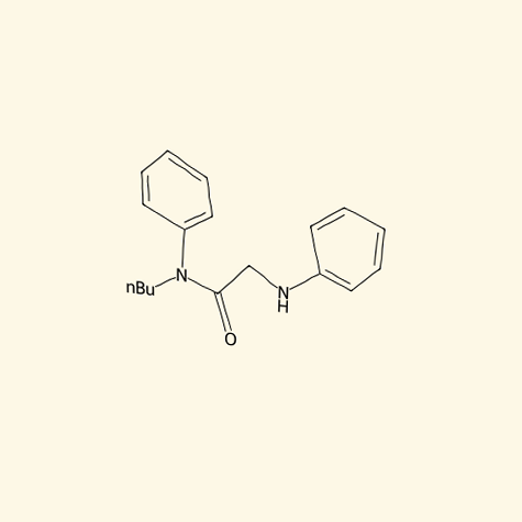 CCCCN(C(=O)CNc1ccccc1)c1ccccc1